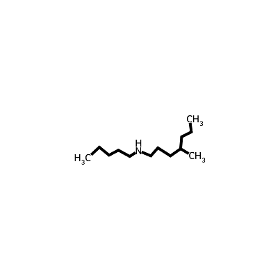 CCCCCNCCCC(C)CCC